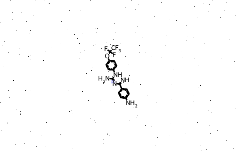 N=C(/N=C(/N)Nc1ccc(OC(F)(F)C(F)(F)F)cc1)c1ccc(N)cc1